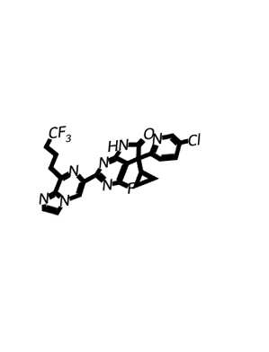 O=C1Nc2nc(-c3cn4ccnc4c(CCCC(F)(F)F)n3)nc(F)c2C1(c1ccc(Cl)cn1)C1CC1